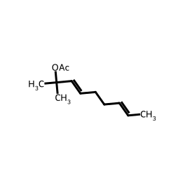 CC=CCCC=CC(C)(C)OC(C)=O